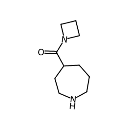 O=C(C1CCCNCC1)N1CCC1